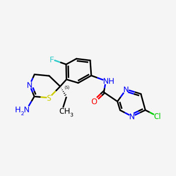 CC[C@@]1(c2cc(NC(=O)c3cnc(Cl)cn3)ccc2F)CCN=C(N)S1